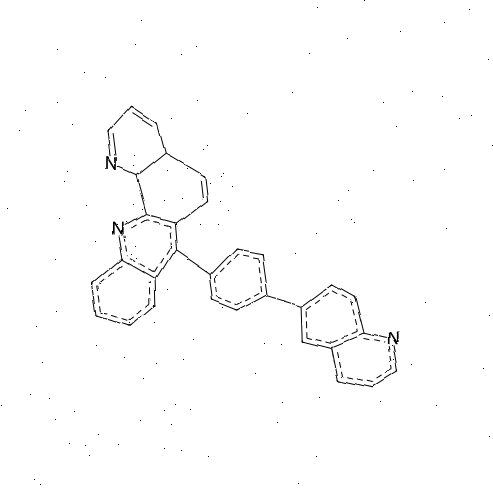 C1=CC2C=Cc3c(nc4ccccc4c3-c3ccc(-c4ccc5ncccc5c4)cc3)C2N=C1